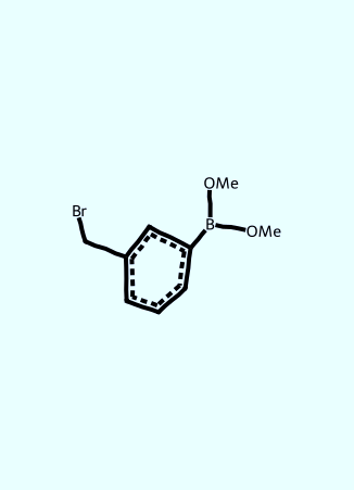 COB(OC)c1cccc(CBr)c1